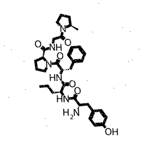 CCC[C@H](NC(=O)[C@@H](N)Cc1ccc(O)cc1)C(=O)N[C@@H](Cc1ccccc1)C(=O)N1CCC[C@H]1C(=O)NCC(=O)N1CCC[C@H]1C